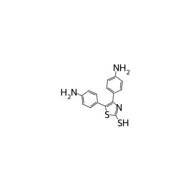 Nc1ccc(-c2nc(S)sc2-c2ccc(N)cc2)cc1